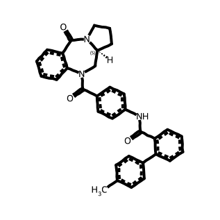 Cc1ccc(-c2ccccc2C(=O)Nc2ccc(C(=O)N3C[C@@H]4CCCN4C(=O)c4ccccc43)cc2)cc1